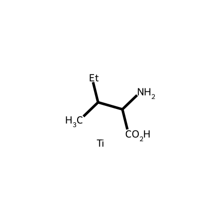 CCC(C)C(N)C(=O)O.[Ti]